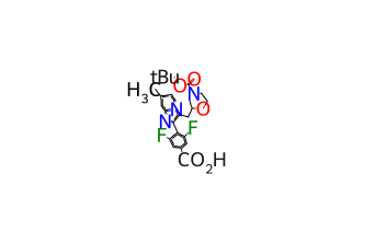 Cc1ccn2c(CC3CN(C(=O)OC(C)(C)C)CCO3)c(-c3c(F)cc(C(=O)O)cc3F)nc2c1